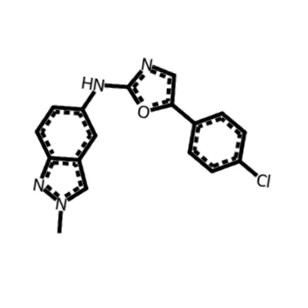 Cn1cc2cc(Nc3ncc(-c4ccc(Cl)cc4)o3)ccc2n1